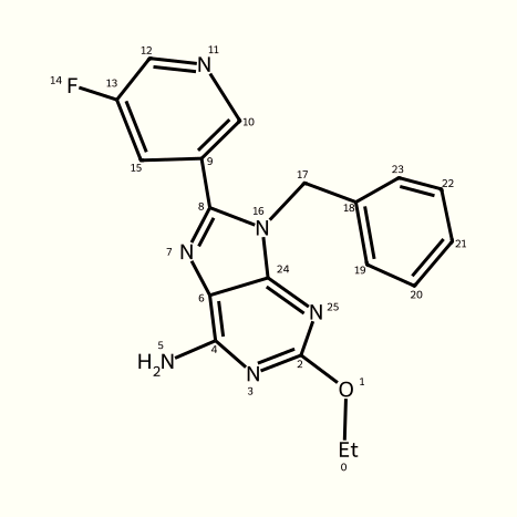 CCOc1nc(N)c2nc(-c3cncc(F)c3)n(Cc3ccccc3)c2n1